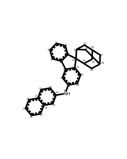 c1ccc2c(c1)-c1cc(Nc3ccc4ccccc4c3)ccc1C21C2CC3CC(C2)CC1C3